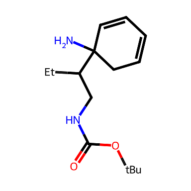 CCC(CNC(=O)OC(C)(C)C)C1(N)C=CC=CC1